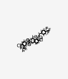 O=C(Cc1ccc(C(F)(F)F)cc1)Nc1c(Cl)ccc2c1CCN(S(=O)(=O)c1ccc(Cl)c(C(F)(F)F)c1)C2